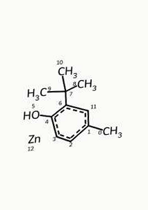 Cc1ccc(O)c(C(C)(C)C)c1.[Zn]